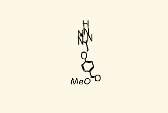 COC(=O)c1ccc(OCc2nn[nH]n2)cc1